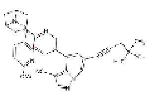 COc1ccc(CN2C3CC2CN(c2ccc(-c4cc(C#CCC(C)(C)O)cn5ncc(C#N)c45)cn2)C3)cn1